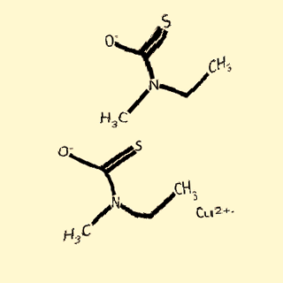 CCN(C)C([O-])=S.CCN(C)C([O-])=S.[Cu+2]